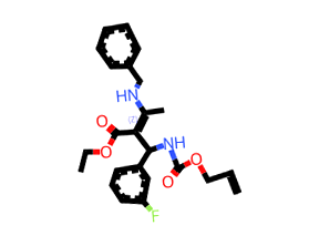 C=CCOC(=O)NC(/C(C(=O)OCC)=C(\C)NCc1ccccc1)c1cccc(F)c1